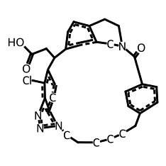 O=C(O)CC1c2ccc3c(c2)CN(CC3)C(=O)c2ccc(cc2)CCCCCCn2nnc3c(Cl)c1ccc32